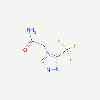 NC(=O)Cn1[c]nnc1C(F)(F)F